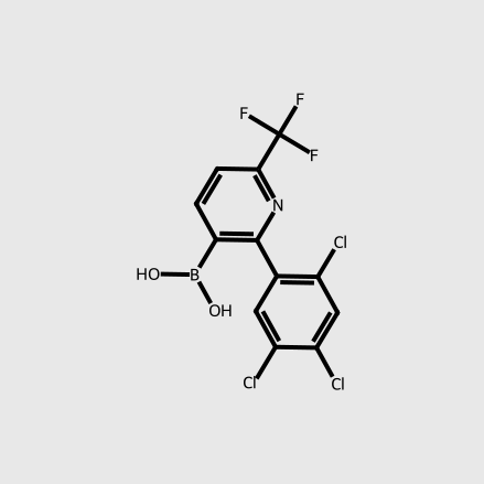 OB(O)c1ccc(C(F)(F)F)nc1-c1cc(Cl)c(Cl)cc1Cl